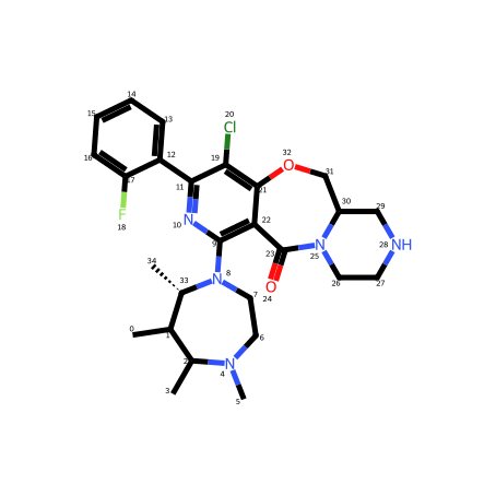 CC1C(C)N(C)CCN(c2nc(-c3ccccc3F)c(Cl)c3c2C(=O)N2CCNCC2CO3)[C@H]1C